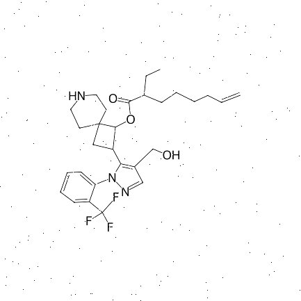 C=CCCCCC(CC)C(=O)OC1C(c2c(CO)cnn2-c2ccccc2C(F)(F)F)CC12CCNCC2